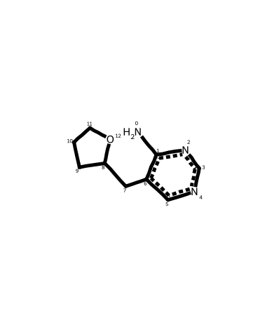 Nc1ncncc1CC1CCCO1